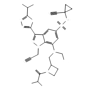 CCN(CC1CCN1C(=O)C(C)C)c1cc(S(=O)(=O)NC2(C#N)CC2)cc2c(-c3nnc(C(F)F)s3)nn(CC#N)c12